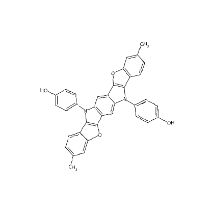 Cc1ccc2c(c1)oc1c3cc4c(cc3n(-c3ccc(O)cc3)c21)c1oc2cc(C)ccc2c1n4-c1ccc(O)cc1